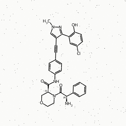 Cn1cc(C#Cc2ccc(NC(=O)[C@@H]3COCCN3C(=O)[C@H](N)c3ccccc3)cc2)c(-c2cc(Cl)ccc2O)n1